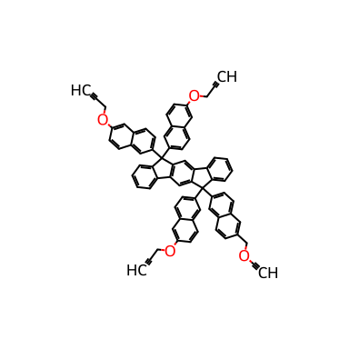 C#CCOc1ccc2cc(C3(c4ccc5cc(COC#C)ccc5c4)c4ccccc4-c4cc5c(cc43)-c3ccccc3C5(c3ccc4cc(OCC#C)ccc4c3)c3ccc4cc(OCC#C)ccc4c3)ccc2c1